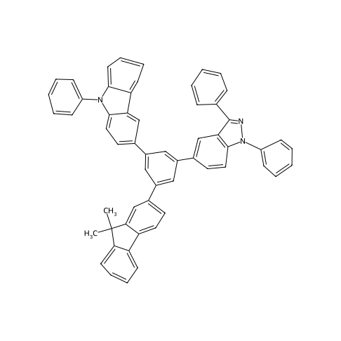 CC1(C)c2ccccc2-c2ccc(-c3cc(-c4ccc5c(c4)c(-c4ccccc4)nn5-c4ccccc4)cc(-c4ccc5c(c4)c4ccccc4n5-c4ccccc4)c3)cc21